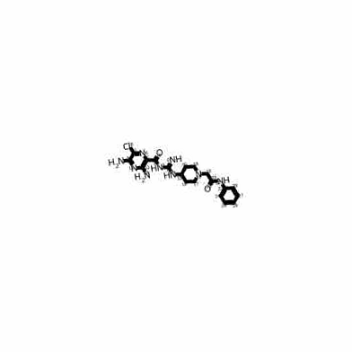 N=C(NC(=O)c1nc(Cl)c(N)nc1N)NC1CCN(CC(=O)Nc2ccccc2)CC1